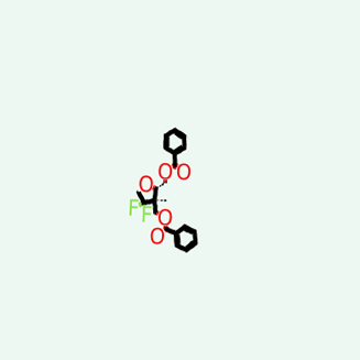 C[C@@]1(COC(=O)c2ccccc2)[C@@H](COC(=O)c2ccccc2)OCC1(F)F